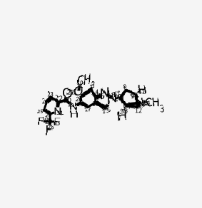 COc1cc2nn([C@H]3C[C@@H]4C[C@H]3CN4C)cc2cc1NC(=O)c1cccc(C(F)(F)F)n1